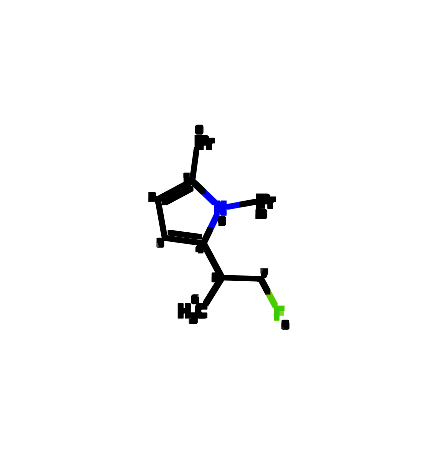 CC(C)c1ccc(C(C)CF)n1C(C)C